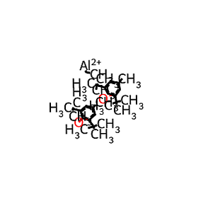 C[CH2][Al+2].Cc1cc(C(C)(C)C)c([O-])c(C(C)(C)C)c1.Cc1cc(C(C)(C)C)c([O-])c(C(C)(C)C)c1